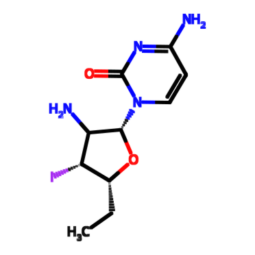 CC[C@H]1O[C@@H](n2ccc(N)nc2=O)C(N)[C@H]1I